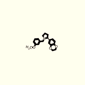 COc1cccc(CN2CCC[C@H]2c2ccc3c(c2)OCCO3)c1